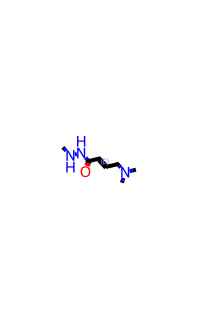 CNNC(=O)/C=C/CN(C)C